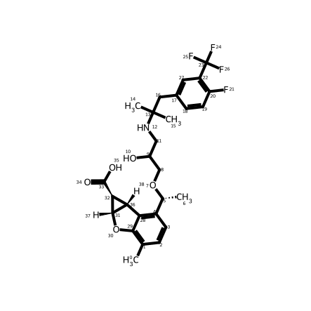 Cc1ccc([C@@H](C)OCC(O)CNC(C)(C)Cc2ccc(F)c(C(F)(F)F)c2)c2c1O[C@@H]1[C@@H](C(=O)O)[C@H]21